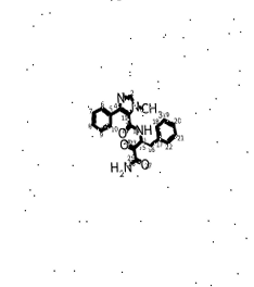 Cn1cnc(-c2ccccc2)c1C(=O)N[C@@H](Cc1ccccc1)C(=O)C(N)=O